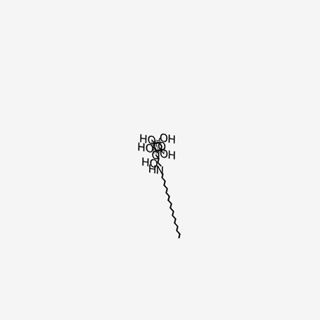 CCCCCCCCCCCCCCCCCCNCC(O)CO[C@@H]1[C@@H](O)[C@@H](O)[C@@H](CO)O[C@H]1O